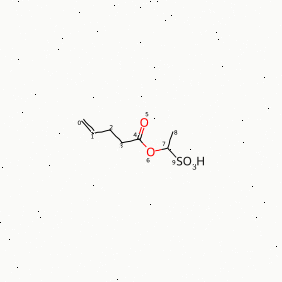 C=CCCC(=O)OC(C)S(=O)(=O)O